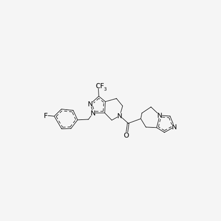 O=C(C1CCn2cncc2C1)N1CCc2c(C(F)(F)F)nn(Cc3ccc(F)cc3)c2C1